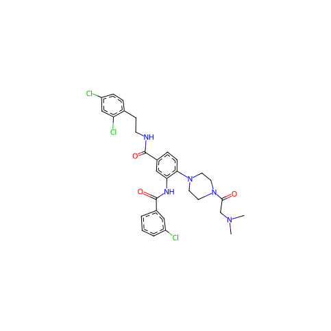 CN(C)CC(=O)N1CCN(c2ccc(C(=O)NCCc3ccc(Cl)cc3Cl)cc2NC(=O)c2cccc(Cl)c2)CC1